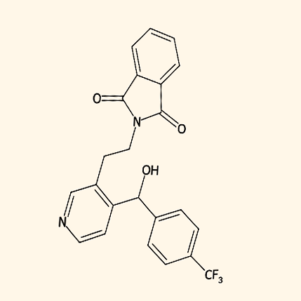 O=C1c2ccccc2C(=O)N1CCc1cnccc1C(O)c1ccc(C(F)(F)F)cc1